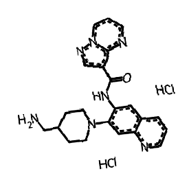 Cl.Cl.NCC1CCN(c2cc3ncccc3cc2NC(=O)c2cnn3cccnc23)CC1